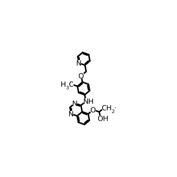 [CH2]C(O)Oc1cccc2ncnc(Nc3ccc(OCc4ccccn4)c(C)c3)c12